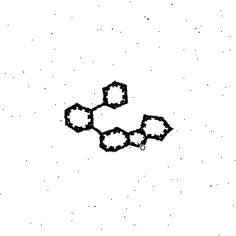 c1ccc(-c2ccccc2-c2ccc3oc4ccccc4c3c2)cc1